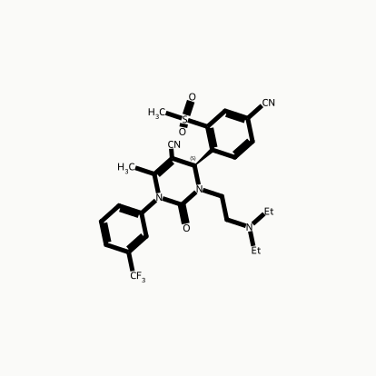 CCN(CC)CCN1C(=O)N(c2cccc(C(F)(F)F)c2)C(C)=C(C#N)[C@H]1c1ccc(C#N)cc1S(C)(=O)=O